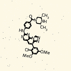 COc1cc(OC)c(Cl)c(-c2cc3cnc(Nc4ccc(C(=O)N5C[C@@H](C)N[C@@H](C)C5)cc4)nc3n3cnnc23)c1